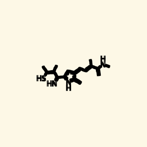 C=C(NC)/C(C)=C/C=c1/cc(C(=N)/C(C)=C(/C)S)[nH]c1=C